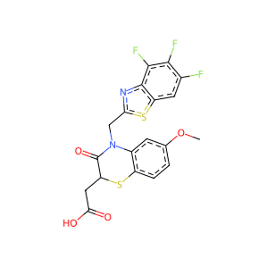 COc1ccc2c(c1)N(Cc1nc3c(F)c(F)c(F)cc3s1)C(=O)C(CC(=O)O)S2